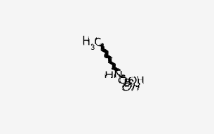 CCCCCCCCCCNCOB(O)O